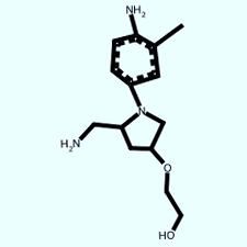 Cc1cc(N2CC(OCCO)CC2CN)ccc1N